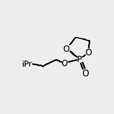 CC(C)CCOP1(=O)OCCO1